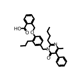 CCCCc1nc(C)c(-c2ccccc2)c(=O)n1Cc1ccc(OCc2ccccc2C(=O)O)c(CCC)c1